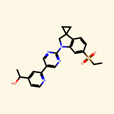 CCS(=O)(=O)c1ccc2c(c1)N(c1ncc(-c3cc(C(C)O)ccn3)cn1)CC21CC1